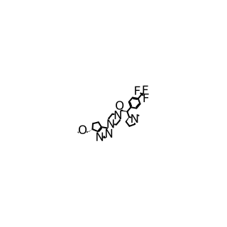 COC[C@@H]1CCc2c1ncnc2N1CCN(C(=O)[C@@H](c2ccc(C(F)(F)F)cc2)[C@@H]2CCCN2C)CC1